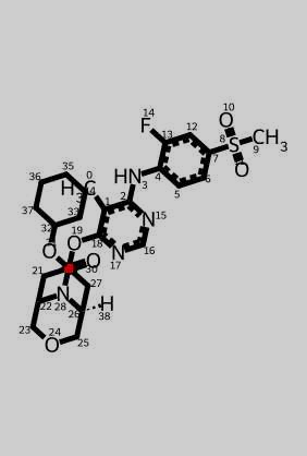 Cc1c(Nc2ccc(S(C)(=O)=O)cc2F)ncnc1OC1CC2COC[C@H](C1)N2C(=O)OC1CCCCC1